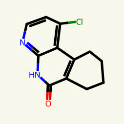 O=c1[nH]c2nccc(Cl)c2c2c1CCCC2